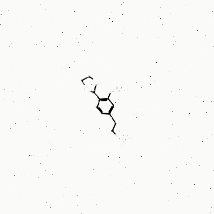 CNCCc1ccc(C2OCCO2)c(OC)c1